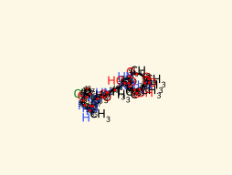 CO[C@H]1/C=C\C=C(/C)C(=O)NC2=CC(O)C(NCCCCCCNC(=O)OCCN3CCN(c4cc(Nc5ncc(C(=O)Nc6c(C)cccc6Cl)s5)nc(C)n4)CC3)=C(CC(C)C[C@H](OC)[C@@H](O)[C@@H](C)/C=C(\C)[C@@H]1OC(N)=O)C2=O